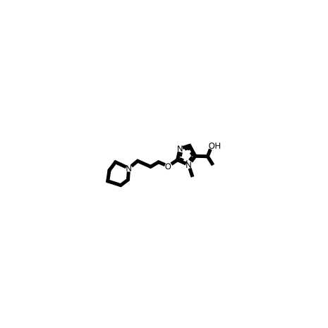 CC(O)c1cnc(OCCCN2CCCCC2)n1C